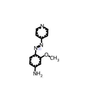 COc1cc(N)ccc1/N=N/c1ccncc1